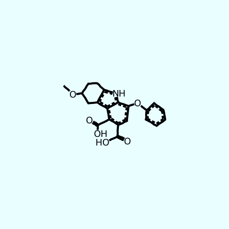 COC1CCc2[nH]c3c(Oc4ccccc4)cc(C(=O)O)c(C(=O)O)c3c2C1